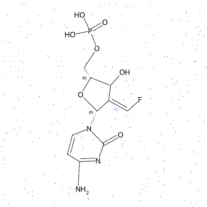 Nc1ccn([C@@H]2O[C@H](COP(=O)(O)O)C(O)/C2=C\F)c(=O)n1